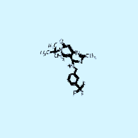 Cc1nc(NCc2cccc(C(F)(F)F)c2)c2cn(C(C)(C)C)c(=O)cc2n1